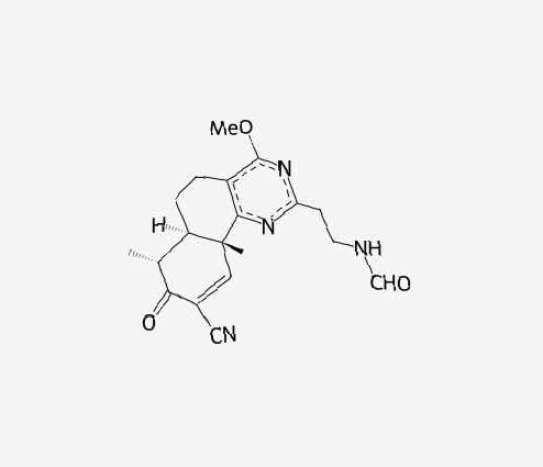 COc1nc(CCNC=O)nc2c1CC[C@@H]1[C@@H](C)C(=O)C(C#N)=C[C@@]21C